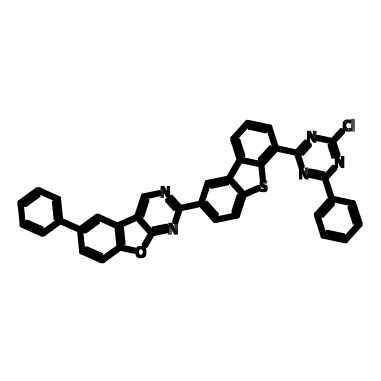 Clc1nc(-c2ccccc2)nc(-c2cccc3c2sc2ccc(-c4ncc5c(n4)oc4ccc(-c6ccccc6)cc45)cc23)n1